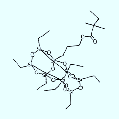 CCC(C)(C)C(=O)OCCC[Si]12O[Si]3(CC)O[Si]4(CC)O[Si]5(CC)O[Si](CC)(O3)O[Si](CC)(O1)[Si](CC)(O5)O[Si](CC)(O4)O2